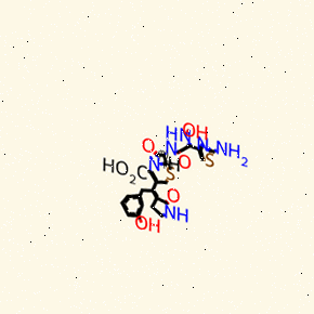 Nc1nc(C(=NO)C(=O)N[C@@H]2C(=O)N3C(C(=O)O)=C(C(Cc4cccc(O)c4)=C4CCNC4=O)CS[C@H]23)cs1